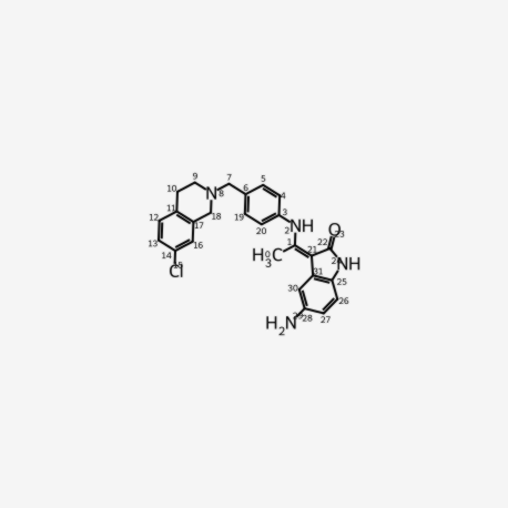 C/C(Nc1ccc(CN2CCc3ccc(Cl)cc3C2)cc1)=C1/C(=O)Nc2ccc(N)cc21